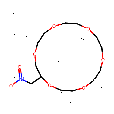 O=[N+]([O-])CC1COCCOCCOCCOCCOCCO1